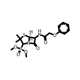 COP(=O)(OC)C1N2C(=O)C(NC(=O)COc3ccccc3)[C@@H]2SC1(C)C